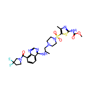 COC(=O)Nc1nc(C)c(S(=O)(=O)N2CCN(CC(C)Nc3ncnc4c(C(=O)N5CCC(F)(F)C5)cccc34)CC2)s1